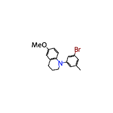 COc1ccc2c(c1)CCCN2c1cc(C)cc(Br)c1